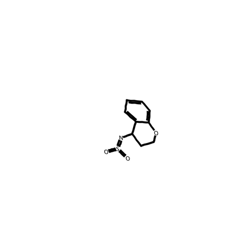 O=S(=O)=NC1CCOc2ccccc21